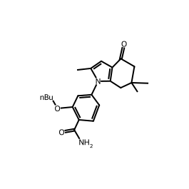 CCCCOc1cc(-n2c(C)cc3c2CC(C)(C)CC3=O)ccc1C(N)=O